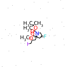 COC(=O)[C@@]1(CCCI)C[C@@H](F)CN1C(=O)OC(C)(C)C